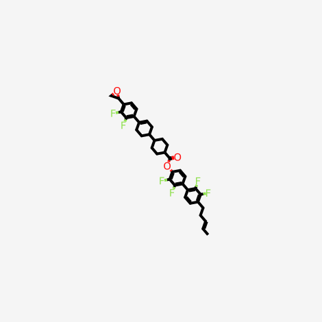 C/C=C/CCc1ccc(-c2ccc(OC(=O)C3CCC(C4CC=C(c5ccc(C6CO6)c(F)c5F)CC4)CC3)c(F)c2F)c(F)c1F